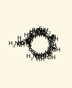 CCC[C@@H]1NC(=O)[C@H](Cc2c[nH]c3ncccc23)NC(=O)[C@H]([C@@H](C)O)NC(=O)[C@H](CNC(=N)N)NC(=O)[C@H](Cc2cc3cc(F)ccc3[nH]2)NC(=O)[C@H](Cc2cc3cc(F)ccc3[nH]2)NC(=O)[C@@H](NC(=O)[C@H](Cc2ccc(NC(=N)N)cc2)NC(C)=O)CSCc2cccc(c2)CSC[C@@H](C(N)=O)NC(=O)[C@H]([C@@H](C)O)NC(=O)[C@H](CCC)NC(=O)[C@H](Cc2ccc(O)cc2)NC(=O)[C@H](CCC(=O)O)NC1=O